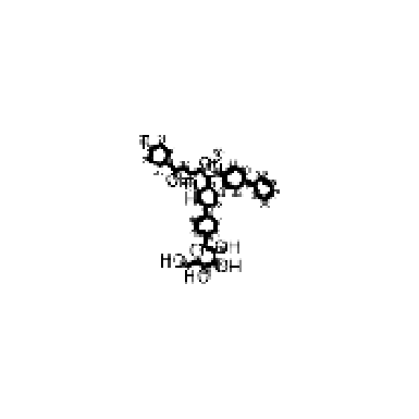 OCC1OC(c2ccc(-c3ccc(C4C(CCC(O)c5ccc(F)cc5)OC(=S)N4c4ccc(-c5ccccc5)cc4)c(O)c3)cc2)C(O)C(O)C1O